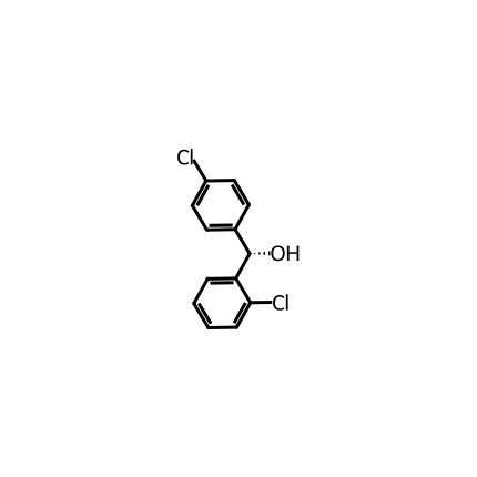 O[C@@H](c1ccc(Cl)cc1)c1ccccc1Cl